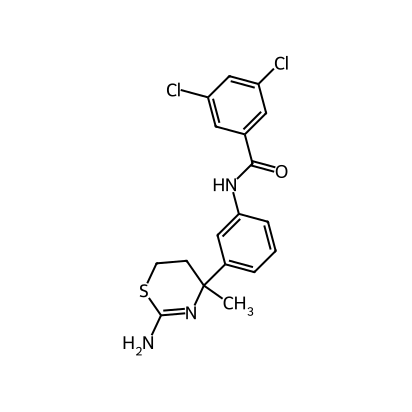 CC1(c2cccc(NC(=O)c3cc(Cl)cc(Cl)c3)c2)CCSC(N)=N1